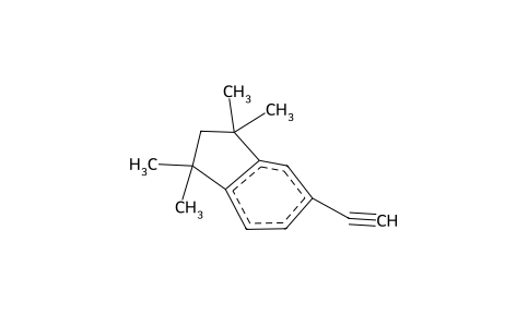 C#Cc1ccc2c(c1)C(C)(C)CC2(C)C